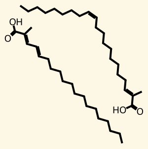 CCCCCCCC/C=C\CCCCCCCC/C=C(\C)C(=O)O.CCCCCCCCCCCCCC/C=C/C=C(\C)C(=O)O